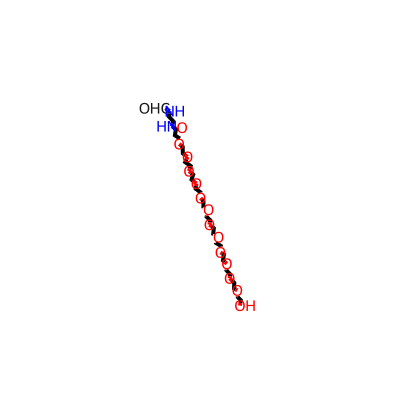 O=CNCCNC(=O)CCOCCOCCOCCOCCOCCOCCOCCOCCOCCOCCOCCOCCO